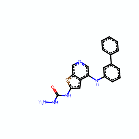 NNC(=O)Nc1cc2c(Nc3cccc(-c4ccccc4)c3)cncc2s1